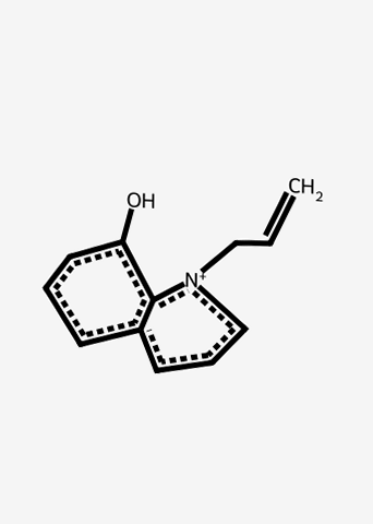 C=CC[n+]1cccc2cccc(O)c21